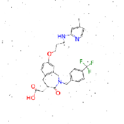 Cc1ccnc(NCCCOc2ccc3c(c2)CN(Cc2ccc(C(F)(F)F)cc2)C(=O)[C@H](CC(=O)O)C3)c1